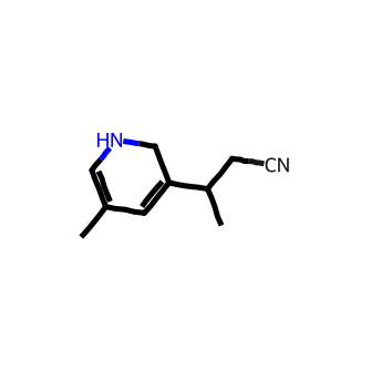 CC1=CNCC(C(C)CC#N)=C1